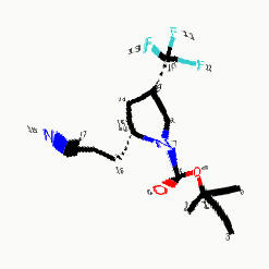 CC(C)(C)OC(=O)N1C[C@@H](C(F)(F)F)C[C@H]1CC#N